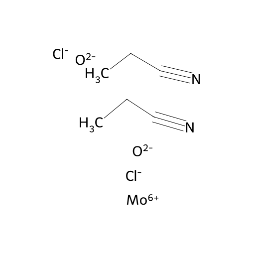 CCC#N.CCC#N.[Cl-].[Cl-].[Mo+6].[O-2].[O-2]